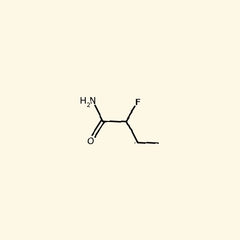 C[CH]C(F)C(N)=O